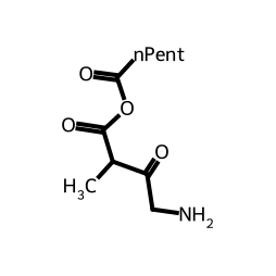 CCCCCC(=O)OC(=O)C(C)C(=O)CN